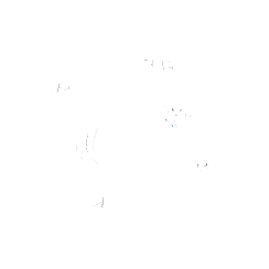 COc1cc(C)c(C(C)(C)C)cc1N.COc1cc(C)c(C(C)(C)C)cc1NC(C)=O